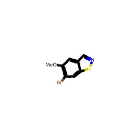 COc1cc2cnsc2cc1Br